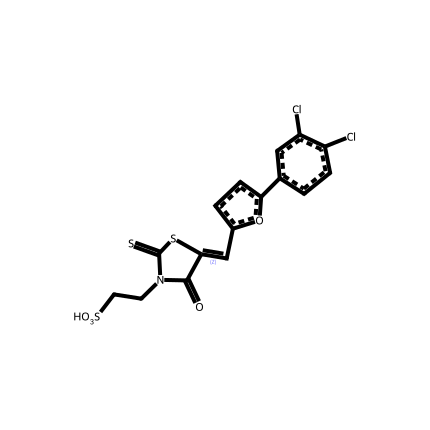 O=C1/C(=C/c2ccc(-c3ccc(Cl)c(Cl)c3)o2)SC(=S)N1CCS(=O)(=O)O